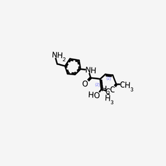 C=C(C)/C=C\C(C(=O)Nc1ccc(CN)cc1)=C(/C)O